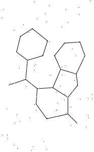 CC1CCC(C(C)C2CCCCC2)C2C1CC1CCCCC12